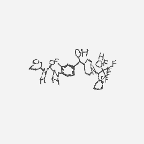 O=C(Nc1ccc(C(O)C2CCN(C(c3ccccc3)C(O)(C(F)(F)F)C(F)(F)F)CC2)cc1F)NC1CCOC1